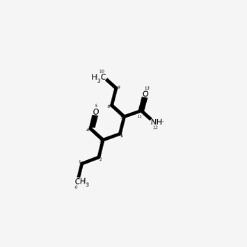 CCCC(C=O)CC(CCC)C([NH])=O